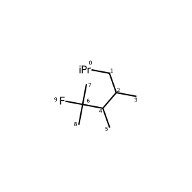 CC(C)CC(C)C(C)C(C)(C)F